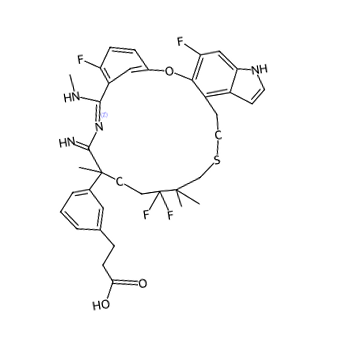 CN/C1=N\C(=N)C(C)(c2cccc(CCC(=O)O)c2)CCC(F)(F)C(C)(C)CSCCc2c(c(F)cc3[nH]ccc23)Oc2ccc(F)c1c2